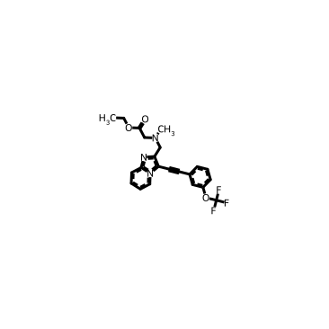 CCOC(=O)CN(C)Cc1nc2ccccn2c1C#Cc1cccc(OC(F)(F)F)c1